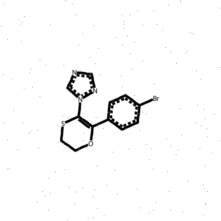 Brc1ccc(C2=C(n3cncn3)SCCO2)cc1